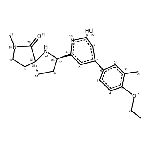 CCOc1ccc(-c2ccnc([C@H]3CC[C@@]4(CCN(C)C4=O)N3)c2)cc1C.Cl